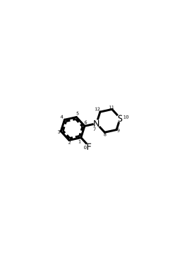 Fc1ccccc1N1CCSCC1